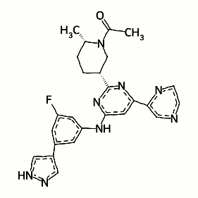 CC(=O)N1C[C@H](c2nc(Nc3cc(F)cc(-c4cn[nH]c4)c3)cc(-c3cnccn3)n2)CC[C@@H]1C